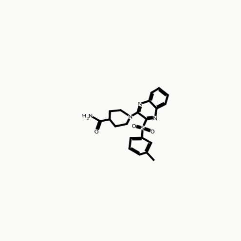 Cc1cccc(S(=O)(=O)c2nc3ccccc3nc2N2CCC(C(N)=O)CC2)c1